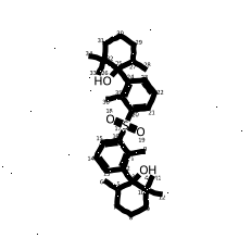 Cc1c(C2(O)C(C)CCCC2(C)C)cccc1S(=O)(=O)c1cccc(C2(O)C(C)CCCC2(C)C)c1C